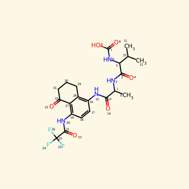 CC(NC(=O)C(NC(=O)O)C(C)C)C(=O)Nc1ccc(NC(=O)C(F)(F)F)c2c1CCCC2=O